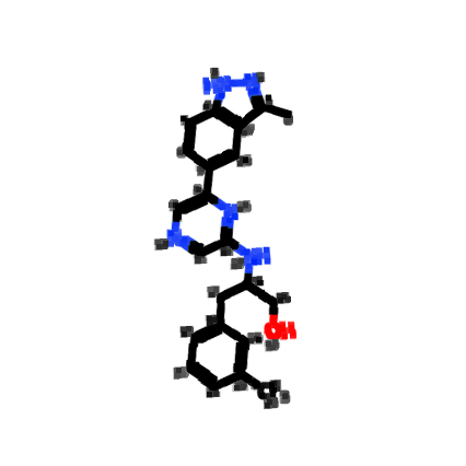 Cc1n[nH]c2ccc(-c3cncc(NC(CO)Cc4cccc(C(F)(F)F)c4)n3)cc12